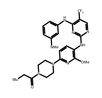 CNc1cccc(Nc2nc(Nc3ccc(N4CCN(C(=O)CC(C)(C)C)CC4)nc3OC)ncc2C(F)(F)F)c1